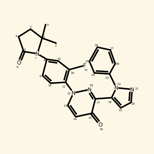 CC1(C)CCC(=O)N1c1ccc(-n2ccc(=O)c(-c3ccnn3-c3ccccc3)n2)c(F)c1